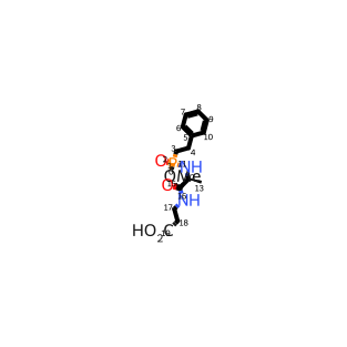 COP(=O)(CCc1ccccc1)N[C@@H](C)C(=O)NCCC(=O)O